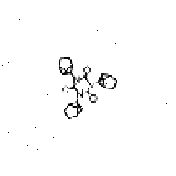 O=c1n(C2=CC3CCC2C3)c(=O)n(C2=CC3CCC2C3)c(=O)n1C1=CC2CCC1C2